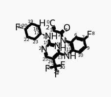 C=CC(=O)Nc1cc(F)ccc1Nc1nc(N[C@H]2CC[C@@H](F)CC2)ncc1C(F)(F)F